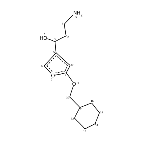 NCCC(O)c1coc(OCC2CCCCC2)c1